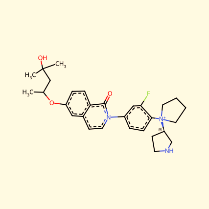 CC(CC(C)(C)O)Oc1ccc2c(=O)n(-c3ccc([N+]4([C@@H]5CCNC5)CCCC4)c(F)c3)ccc2c1